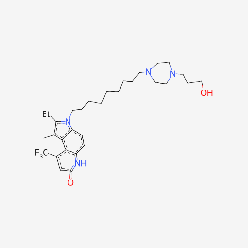 CCc1c(C)c2c3c(C(F)(F)F)cc(=O)[nH]c3ccc2n1CCCCCCCCCN1CCN(CCCO)CC1